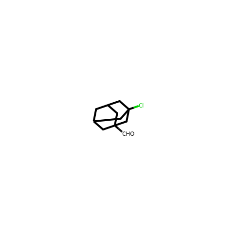 O=CC12CC3CC(CC(Cl)(C3)C1)C2